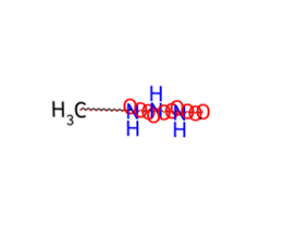 CCCCCCCCCCCCCCCCCCCC(=O)NCCOCCOCC(=O)NCCOCCOCC(=O)NCCOCCOC[C]=O